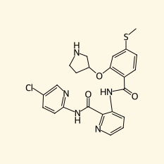 CSc1ccc(C(=O)Nc2cccnc2C(=O)Nc2ccc(Cl)cn2)c(OC2CCNC2)c1